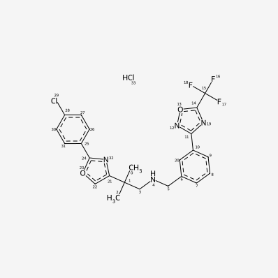 CC(C)(CNCc1cccc(-c2noc(C(F)(F)F)n2)c1)c1coc(-c2ccc(Cl)cc2)n1.Cl